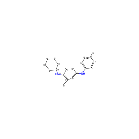 Cc1ccc(Nc2ccc(NC3CCCCC3)c(C)c2)cc1